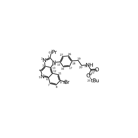 CC(C)c1nc2cnc3ccc(Br)cc3c2n1-c1ccc(CCNC(=O)OC(C)(C)C)cc1